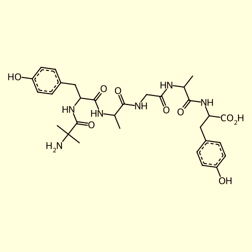 CC(NC(=O)CNC(=O)C(C)NC(=O)C(Cc1ccc(O)cc1)NC(=O)C(C)(C)N)C(=O)NC(Cc1ccc(O)cc1)C(=O)O